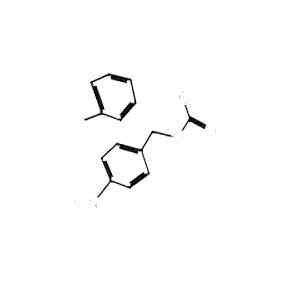 Cc1ccccc1.O=C(Cl)OCc1ccc([N+](=O)[O-])cc1